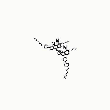 CCCCCCC[C@H]1CC[C@H]([C@H]2CC[C@H](C(=CCOCC=C(c3ccc(CCCCC)c(C#N)c3C#N)[C@H]3CC[C@H]([C@H]4CC[C@H](CCCCCCC)CC4)CC3)c3ccc(CCCCC)c(C#N)c3C#N)CC2)CC1